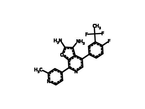 Cc1cc(-c2ncc(-c3ccc(F)c(C(C)(F)F)c3)c3c(N)c(N)oc23)ccn1